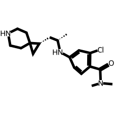 C[C@@H](C[C@@H]1CC12CCNCC2)Nc1ccc(C(=O)N(C)C)c(Cl)c1